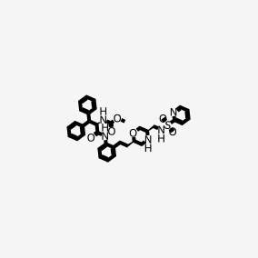 COC(=O)N[C@H](C(=O)Nc1ccccc1CC[C@@H]1CN[C@H](CNS(=O)(=O)c2ccccn2)CO1)C(c1ccccc1)c1ccccc1